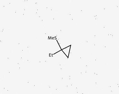 CCC1(SC)CC1